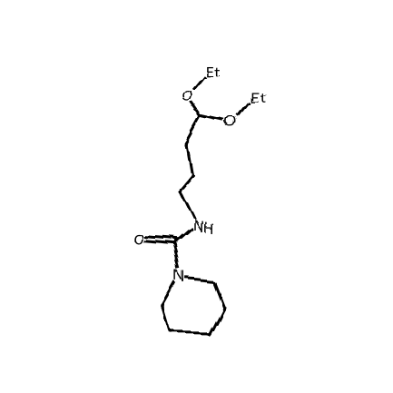 CCOC(CCCNC(=O)N1CCCCC1)OCC